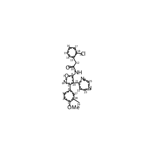 COc1ccc(-c2noc(NC(=O)Cc3ccccc3Cl)c2-c2ccncn2)cc1C